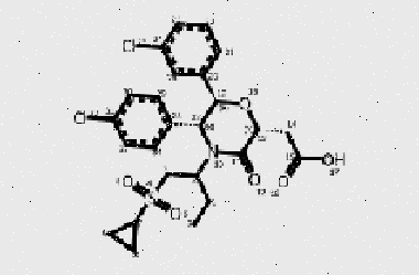 CCC(CS(=O)(=O)C1CC1)N1C(=O)[C@@H](CC(=O)O)O[C@H](c2cccc(Cl)c2)[C@H]1c1ccc(Cl)cc1